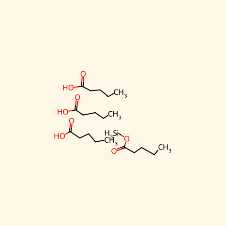 CCCCC(=O)O.CCCCC(=O)O.CCCCC(=O)O.CCCCC(=O)O[SiH3]